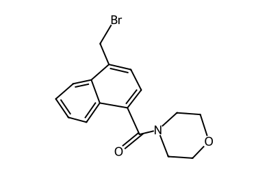 O=C(c1ccc(CBr)c2ccccc12)N1CCOCC1